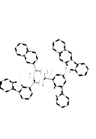 c1ccc2cc(C3N=C(c4cccc5c4sc4ccccc45)N=C(c4cc(-n5c6ccccc6c6cc7ccccc7cc65)cc5c4oc4ccccc45)N3)ccc2c1